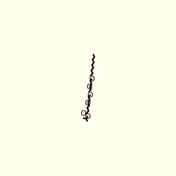 CCCCCCCCCOCCOCCOCCOCCCC(=O)OC(C)C